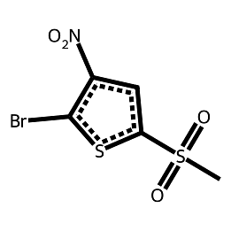 CS(=O)(=O)c1cc([N+](=O)[O-])c(Br)s1